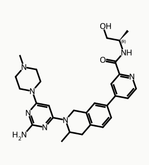 CC1Cc2ccc(-c3ccnc(C(=O)N[C@H](C)CO)c3)cc2CN1c1cc(N2CCN(C)CC2)nc(N)n1